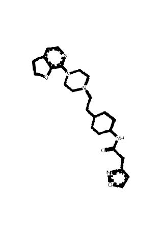 O=C(Cc1ccon1)NC1CCC(CCN2CCN(c3nccc4c3OCC4)CC2)CC1